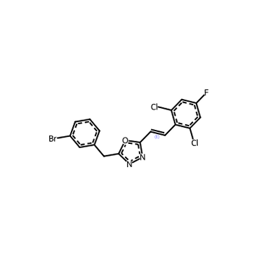 Fc1cc(Cl)c(/C=C/c2nnc(Cc3cccc(Br)c3)o2)c(Cl)c1